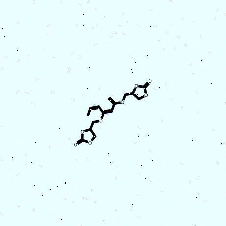 C=C(/C=C(\C=C/C)OCC1COC(=O)O1)OCC1COC(=O)O1